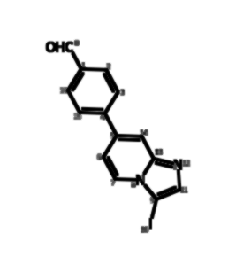 O=Cc1ccc(-c2ccn3c(I)cnc3c2)cc1